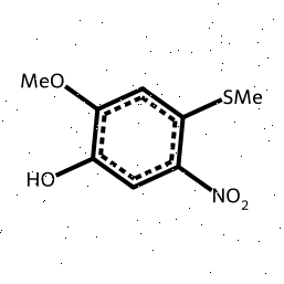 COc1cc(SC)c([N+](=O)[O-])cc1O